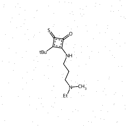 CCN(C)CCCNc1c(C(C)(C)C)c(=S)c1=O